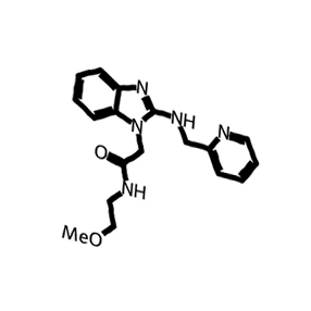 COCCNC(=O)Cn1c(NCc2ccccn2)nc2ccccc21